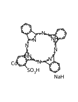 O=S(=O)(O)c1cccc2c3nc4nc(nc5[nH]c(nc6nc(nc([nH]3)c12)-c1ccccc1-6)c1ccccc51)-c1ccccc1-4.[Co].[NaH]